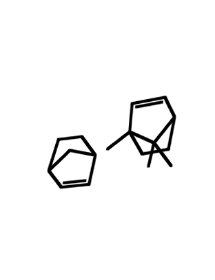 C1=CC2CCC1C2.CC12C=CC(CC1)C2(C)C